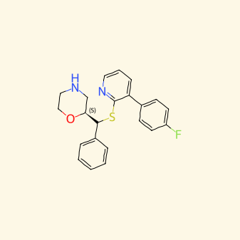 Fc1ccc(-c2cccnc2SC(c2ccccc2)[C@@H]2CNCCO2)cc1